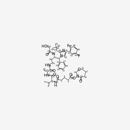 CC(C)[C@H](NC(=O)CCCC(=O)ON1COCCCC1=O)C(=O)N[C@@H](C)C(=O)NCCCN(C(=O)CO)[C@@H](c1nc(-c2cc(F)ccc2F)cn1Cc1ccccc1)C(C)(C)C